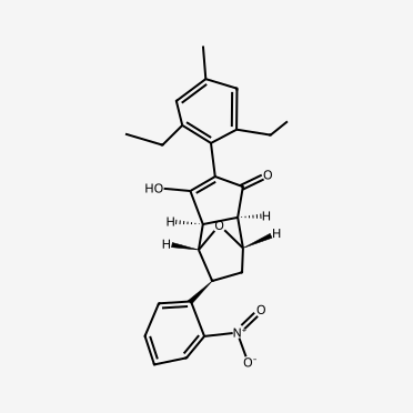 CCc1cc(C)cc(CC)c1C1=C(O)[C@@H]2[C@@H]3O[C@@H](C[C@H]3c3ccccc3[N+](=O)[O-])[C@@H]2C1=O